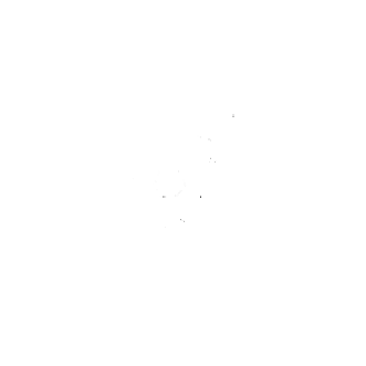 CC(C)(C)OC(=O)N1CCC[C@](CCNC(C)(C)C(F)(F)F)(c2ccc(Cl)cc2)C1